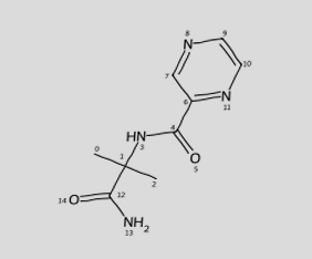 CC(C)(NC(=O)c1cnccn1)C(N)=O